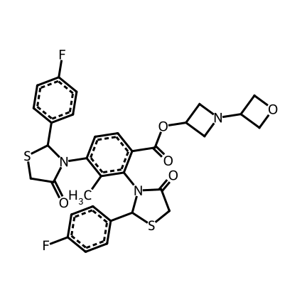 Cc1c(N2C(=O)CSC2c2ccc(F)cc2)ccc(C(=O)OC2CN(C3COC3)C2)c1N1C(=O)CSC1c1ccc(F)cc1